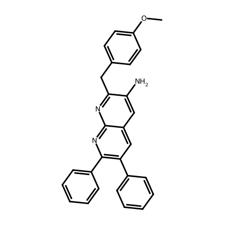 COc1ccc(Cc2nc3nc(-c4ccccc4)c(-c4ccccc4)cc3cc2N)cc1